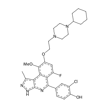 COc1c(OCCN2CCN(C3CCCCC3)CC2)cc(F)c2c(-c3ccc(O)c(Cl)c3)nc3[nH]nc(C)c3c12